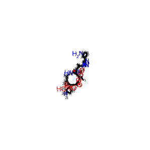 CC[C@H]1OC(=O)[C@H](C)C(=O)[C@H](C)[C@@H](O[C@@H]2O[C@H](C)CC(N(C)C)C2O)[C@](C)(OC)C[C@@H](C)CN[C@H](C)[C@H]2N(CC3CC3Cn3cc(-c4cccc(N)c4)nn3)C(=O)O[C@]12C